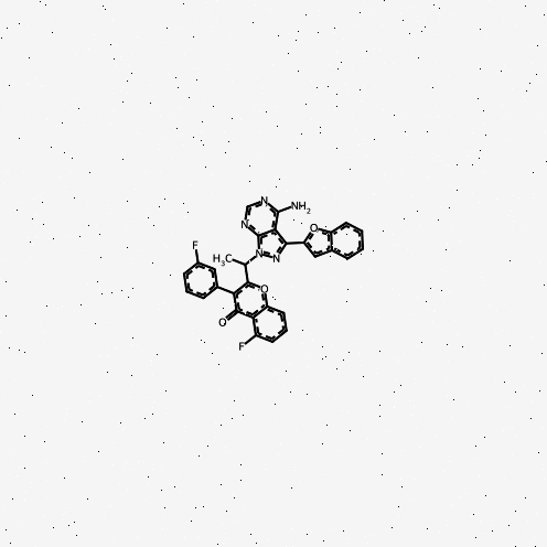 CC(c1oc2cccc(F)c2c(=O)c1-c1cccc(F)c1)n1nc(-c2cc3ccccc3o2)c2c(N)ncnc21